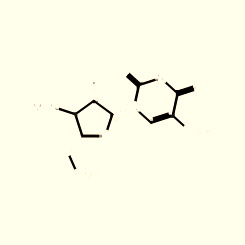 CNC1[C@@H](COC)O[C@@H](n2cc(OC)c(=O)[nH]c2=O)[C@H]1O